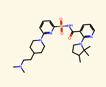 CC1CCN(c2ncccc2C(=O)NS(=O)(=O)c2cccc(N3CCC(CCN(C)C)CC3)n2)C1(C)C